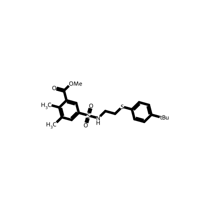 COC(=O)c1cc(S(=O)(=O)NCCSc2ccc(C(C)(C)C)cc2)cc(C)c1C